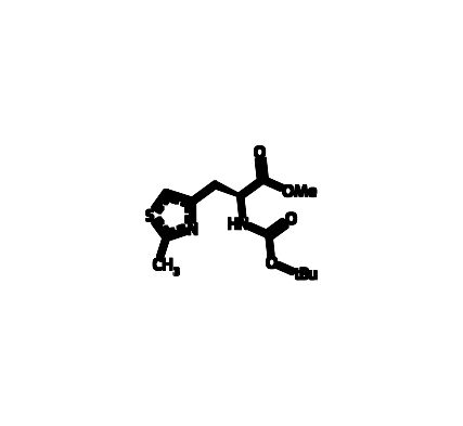 COC(=O)[C@H](Cc1csc(C)n1)NC(=O)OC(C)(C)C